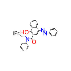 CC(C)CCN(C(=O)c1cc(/N=N/c2ccccc2)c2ccccc2c1O)c1ccccc1